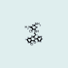 Nc1nc(N)c(Cl)c(NCCc2nc3cccc(Cl)c3c(=O)n2-c2cccnc2)n1